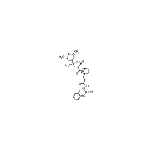 C[C@H]1CN(C(C)(C)CC(C#N)C(=O)N2C3CCC2(COC(=O)N[C@@H](Cc2ccccc2)B(O)O)CC3)C[C@H](C)O1